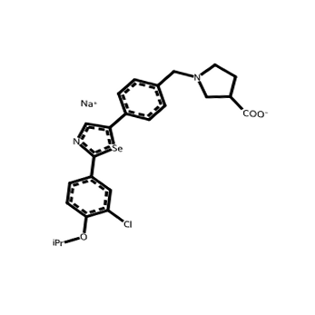 CC(C)Oc1ccc(-c2ncc(-c3ccc(CN4CCC(C(=O)[O-])C4)cc3)[se]2)cc1Cl.[Na+]